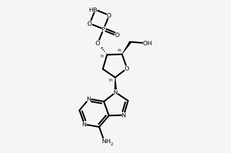 Nc1ncnc2c1ncn2[C@H]1C[C@H](OP2(=O)OBO2)[C@@H](CO)O1